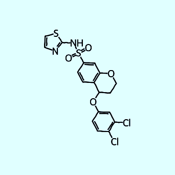 O=S(=O)(Nc1nccs1)c1ccc2c(c1)OCCC2Oc1ccc(Cl)c(Cl)c1